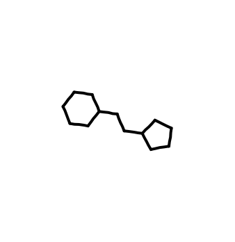 C1CCC(CCC2CCCC2)CC1